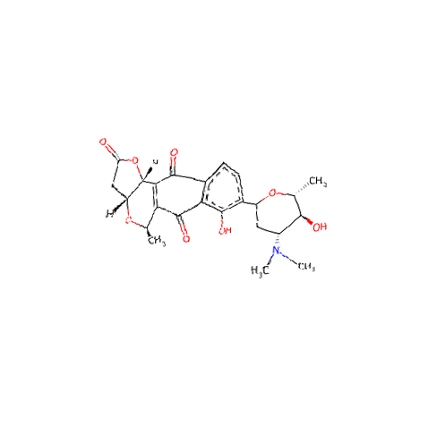 C[C@H]1O[C@@H]2CC(=O)O[C@@H]2C2=C1C(=O)c1c(ccc(C3C[C@@H](N(C)C)[C@H](O)[C@@H](C)O3)c1O)C2=O